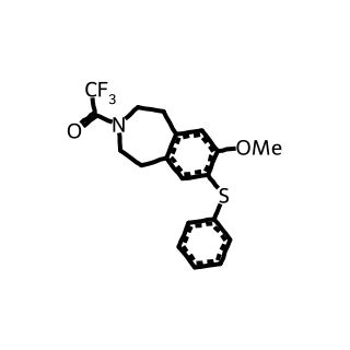 COc1cc2c(cc1Sc1ccccc1)CCN(C(=O)C(F)(F)F)CC2